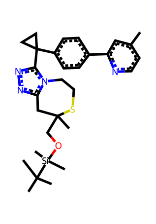 Cc1ccnc(-c2ccc(C3(c4nnc5n4CCSC(C)(CO[Si](C)(C)C(C)(C)C)C5)CC3)cc2)c1